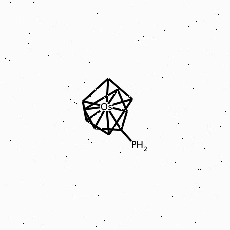 P[C]12[CH]3[CH]4[CH]5[CH]1[Os]45321678[CH]2[CH]1[CH]6[CH]7[CH]28